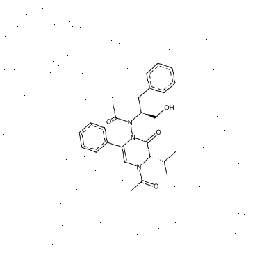 CC(=O)N1C=C(c2ccccc2)N(N(C(C)=O)[C@H](CO)Cc2ccccc2)C(=O)[C@@H]1C(C)C